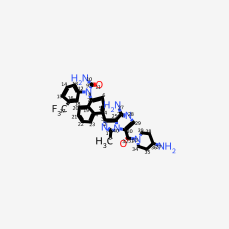 Cc1nc(-c2ccc(N(C(N)=O)c3cccc(C(F)(F)F)c3)c3ccccc23)c2c(N)ncc(C(=O)N3CCC(N)CC3)n12